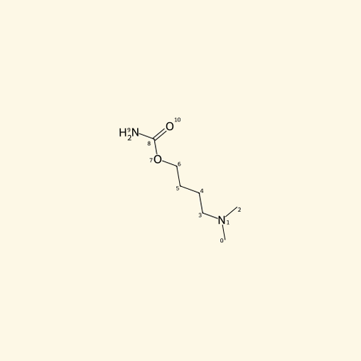 CN(C)CCCCOC(N)=O